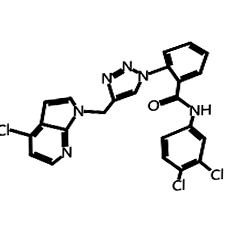 O=C(Nc1ccc(Cl)c(Cl)c1)c1ccccc1-n1cc(Cn2ccc3c(Cl)ccnc32)nn1